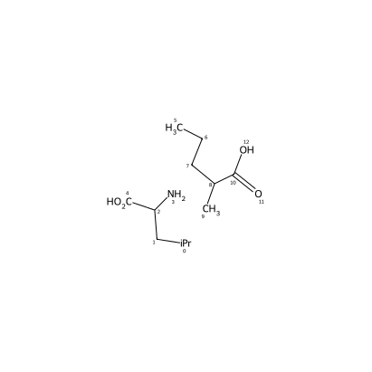 CC(C)CC(N)C(=O)O.CCCC(C)C(=O)O